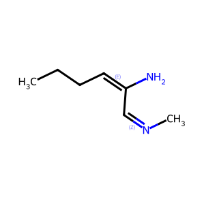 CCC/C=C(N)\C=N/C